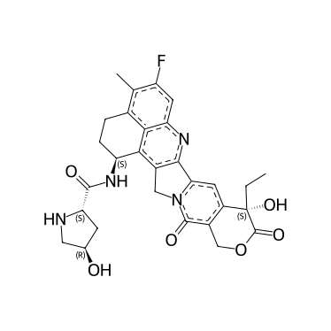 CC[C@@]1(O)C(=O)OCc2c1cc1n(c2=O)Cc2c-1nc1cc(F)c(C)c3c1c2[C@@H](NC(=O)[C@@H]1C[C@@H](O)CN1)CC3